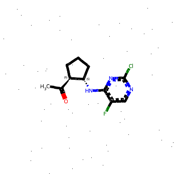 CC(=O)[C@H]1CCC[C@@H]1Nc1nc(Cl)ncc1F